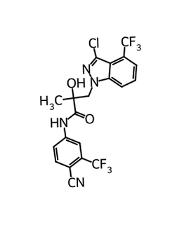 CC(O)(Cn1nc(Cl)c2c(C(F)(F)F)cccc21)C(=O)Nc1ccc(C#N)c(C(F)(F)F)c1